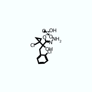 NN=C(OS(=O)(=O)O)C(O)(Cc1ccccc1Cl)C1(Cl)CC1